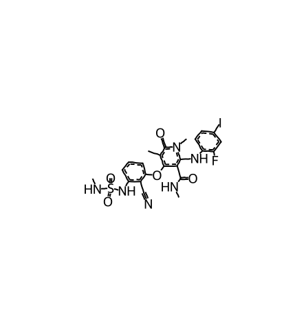 CNC(=O)c1c(Oc2cccc(NS(=O)(=O)NC)c2C#N)c(C)c(=O)n(C)c1Nc1ccc(I)cc1F